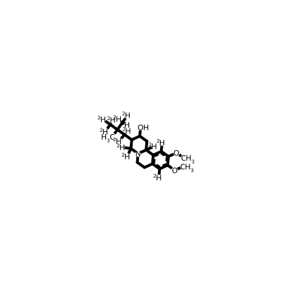 [2H]c1c2c(c([2H])c(OC)c1OC)C1([2H])CC(O)C(C([2H])([2H])C(C)(C([2H])([2H])[2H])C([2H])([2H])[2H])C([2H])([2H])N1CC2